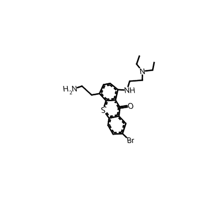 CCN(CC)CCNc1ccc(CCN)c2sc3ccc(Br)cc3c(=O)c12